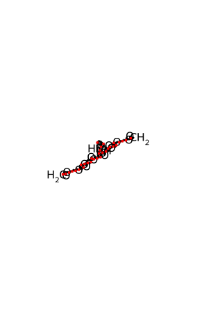 C=CC(=O)OCCCCCCOc1ccc(OC(=O)C2CCC(C(=O)OCCc3ccc(OC(=O)C4CCC(C(=O)Oc5ccc(OCCCCCCOC(=O)C=C)cc5)CC4)c(CNNc4cccc5ccccc45)c3)CC2)cc1